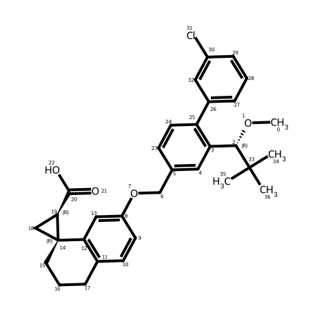 CO[C@@H](c1cc(COc2ccc3c(c2)[C@]2(CCC3)C[C@H]2C(=O)O)ccc1-c1cccc(Cl)c1)C(C)(C)C